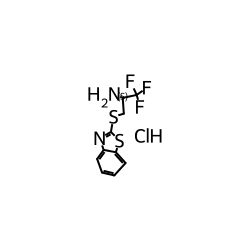 Cl.N[C@H](CSc1nc2ccccc2s1)C(F)(F)F